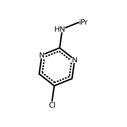 CC(C)Nc1ncc(Cl)cn1